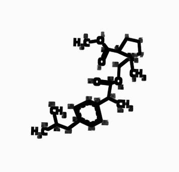 COC(=O)C1CCC[N+]1(C)COC(=O)C(C)c1ccc(CC(C)C)cc1